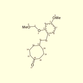 COCOc1cc(OC)ccc1CCC1CCCC(=O)CCC1